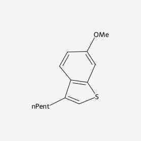 CCCCCc1csc2cc(OC)ccc12